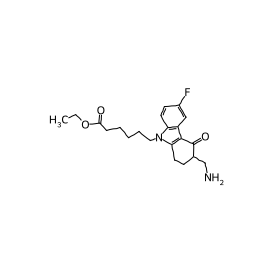 CCOC(=O)CCCCCn1c2c(c3cc(F)ccc31)C(=O)C(CN)CC2